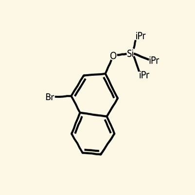 CC(C)[Si](Oc1cc(Br)c2ccccc2c1)(C(C)C)C(C)C